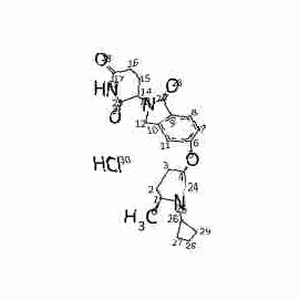 C[C@H]1CC[C@@H](Oc2ccc3c(c2)CN(C2CCC(=O)NC2=O)C3=O)CN1C1CCC1.Cl